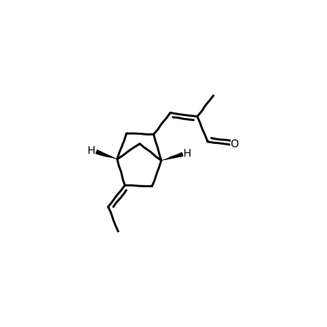 CC=C1C[C@@H]2C[C@H]1CC2C=C(C)C=O